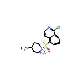 CC1CC[N+](N)(S(=O)(=O)c2cccc3c(Cl)nccc23)CC1